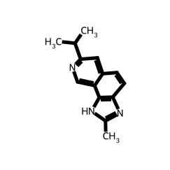 Cc1nc2ccc3cc(C(C)C)ncc3c2[nH]1